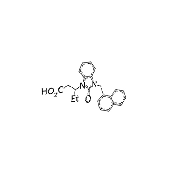 CCC(CC(=O)O)n1c(=O)n(Cc2cccc3ccccc23)c2ccccc21